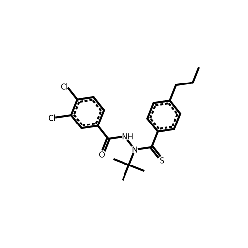 CCCc1ccc(C(=S)N(NC(=O)c2ccc(Cl)c(Cl)c2)C(C)(C)C)cc1